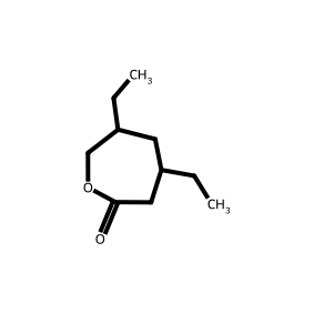 CCC1COC(=O)CC(CC)C1